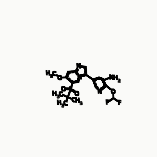 COc1cc2ncc(-c3cnc(OC(F)F)c(N)c3)n2cc1S(=O)(=O)C(C)(C)C